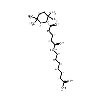 CC1(C)OCC(C)(C)[C@H](C(=O)NCCC(=O)NCCSCCCC(=O)O)O1